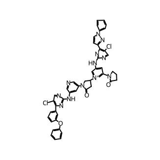 O=C1CCCN1c1cc(Nc2ncc(Cl)c(-c3ccn(-c4ccccc4)n3)n2)c[n+](C2CC(=O)N(c3cncc(Nc4ncc(Cl)c(-c5cccc(Oc6ccccc6)c5)n4)c3)C2)c1